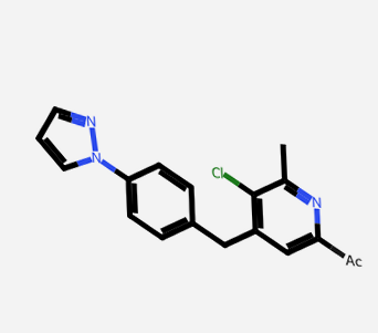 CC(=O)c1cc(Cc2ccc(-n3cccn3)cc2)c(Cl)c(C)n1